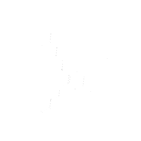 CCN(CC)CCNC(=O)c1cc(Cl)c(N)cc1OCC(=O)NN.O.O.O